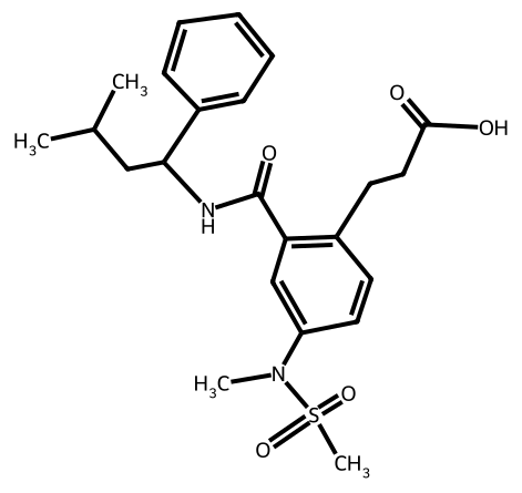 CC(C)CC(NC(=O)c1cc(N(C)S(C)(=O)=O)ccc1CCC(=O)O)c1ccccc1